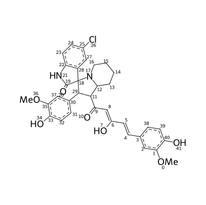 COc1cc(/C=C/C(O)=C/C(=O)C2C3CCCCN3C3(C(=O)Nc4ccc(Cl)cc43)C2c2ccc(O)c(OC)c2)ccc1O